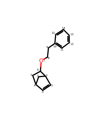 C1=CC2CC1CC2OCCc1ccccc1